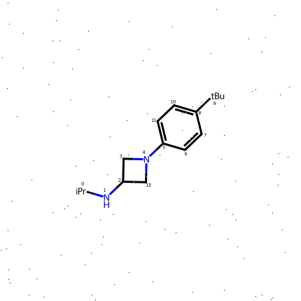 CC(C)NC1CN(c2ccc(C(C)(C)C)cc2)C1